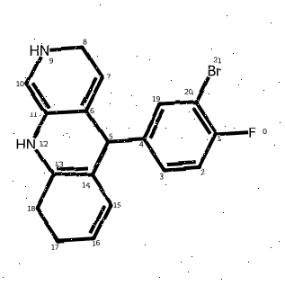 Fc1ccc(C2C3=CCNC=C3NC3=C2C=CCC3)cc1Br